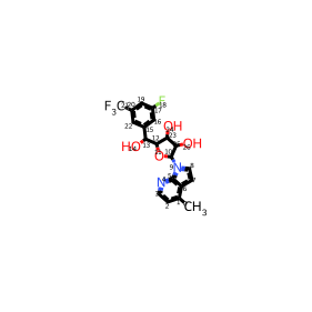 Cc1ccnc2c1ccn2C1OC(C(O)c2cc(F)cc(C(F)(F)F)c2)C(O)C1O